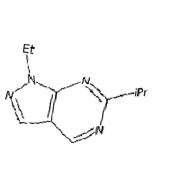 CCn1ncc2cnc(C(C)C)nc21